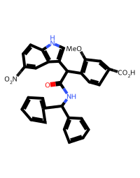 COc1cc(C(=O)O)ccc1C(C(=O)NC(c1ccccc1)c1ccccc1)c1c[nH]c2ccc([N+](=O)[O-])cc12